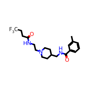 Cc1cccc(C(=O)NCC2CCN(CCNC(=O)CCC(F)(F)F)CC2)c1